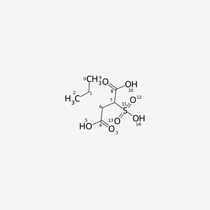 CCC.O=C(O)CC(C(=O)O)S(=O)(=O)O